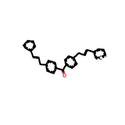 O=C(c1ccc(C/C=C/c2ccccc2)cc1)c1ccc(C/C=C/c2ccccc2)cc1